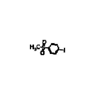 CS(=O)(=O)c1ccc(I)cc1